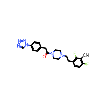 N#Cc1c(F)ccc(CCN2CCN(C(=O)Cc3ccc(-n4cnnn4)cc3)CC2)c1F